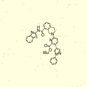 CC(C)(C)OC(=O)c1nc(N2CCc3cccc(C(=O)Nc4nc5ccccc5s4)c3C2)ccc1-c1cnn(-c2ccccc2)c1